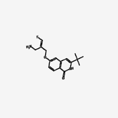 CC(C)(C)c1cc2cc(OC/C(=C/F)CN)ccc2c(=O)[nH]1